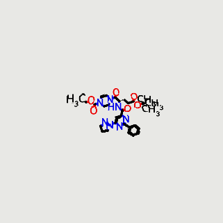 CCOC(=O)N1CCN(C(=O)[C@H](CCC(=O)OC(C)(C)C)NC(=O)c2cc(N3CCC=N3)nc(-c3ccccc3)n2)CC1